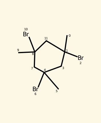 CC1(Br)CC(C)(Br)CC(C)(Br)C1